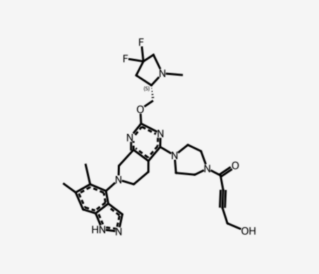 Cc1cc2[nH]ncc2c(N2CCc3c(nc(OC[C@@H]4CC(F)(F)CN4C)nc3N3CCN(C(=O)C#CCO)CC3)C2)c1C